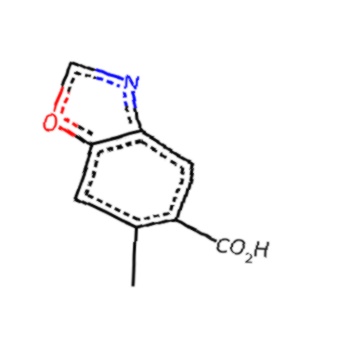 Cc1cc2ocnc2cc1C(=O)O